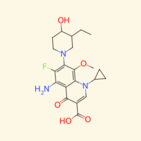 CCC1CN(c2c(F)c(N)c3c(=O)c(C(=O)O)cn(C4CC4)c3c2OC)CCC1O